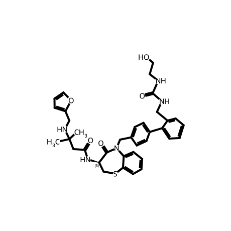 CC(C)(CC(=O)N[C@@H]1CSc2ccccc2N(Cc2ccc(-c3ccccc3CNC(=O)NCCO)cc2)C1=O)NCc1ccco1